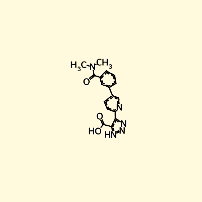 CN(C)C(=O)c1cccc(-c2ccc(-c3nn[nH]c3C(=O)O)nc2)c1